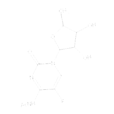 CC(=O)Nc1nc(=O)n(C2OC(C)C(O)C2O)cc1F